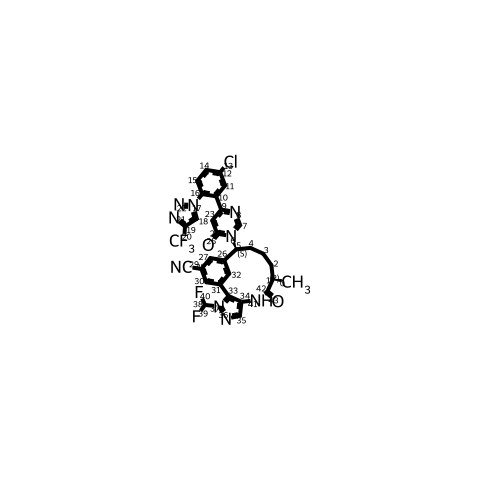 C[C@@H]1CCC[C@H](n2cnc(-c3cc(Cl)ccc3-n3cc(C(F)(F)F)nn3)cc2=O)c2cc(C#N)cc(c2)-c2c(cnn2C(F)F)NC1=O